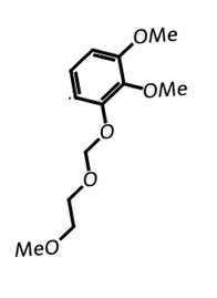 COCCOCOc1[c]ccc(OC)c1OC